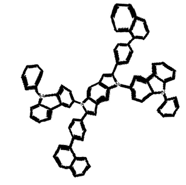 c1ccc(-n2c3ccccc3c3cc(-n4c(-c5ccc(-c6cccc7ccccc67)cc5)cc5cc6c(cc(-c7ccc(-c8cccc9ccccc89)cc7)n6-c6ccc7c(c6)c6ccccc6n7-c6ccccc6)cc54)ccc32)cc1